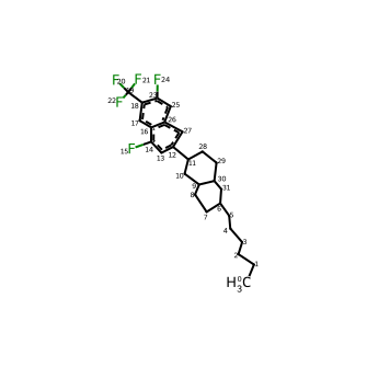 CCCCCCC1CCC2CC(c3cc(F)c4cc(C(F)(F)F)c(F)cc4c3)CCC2C1